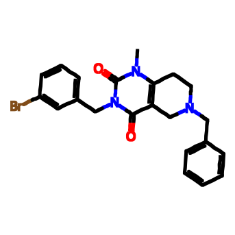 Cn1c2c(c(=O)n(Cc3cccc(Br)c3)c1=O)CN(Cc1ccccc1)CC2